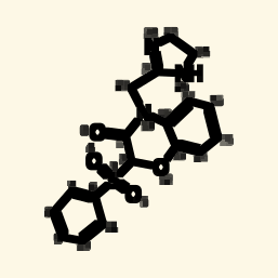 O=C1C(S(=O)(=O)c2ccccc2)Oc2ccccc2N1CC1=NCCN1